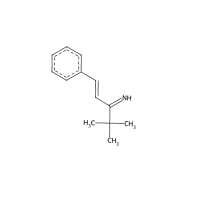 CC(C)(C)C(=N)/C=C/c1ccccc1